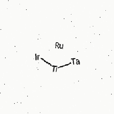 [Ru].[Ta][Ti][Ir]